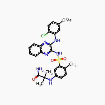 COc1ccc(Cl)c(Nc2nc3ccccc3nc2NS(=O)(=O)c2cc(NC(C)(C)C(N)=O)ccc2C)c1